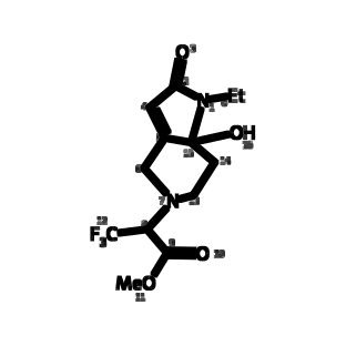 CCN1C(=O)C=C2CN(C(C(=O)OC)C(F)(F)F)CCC21O